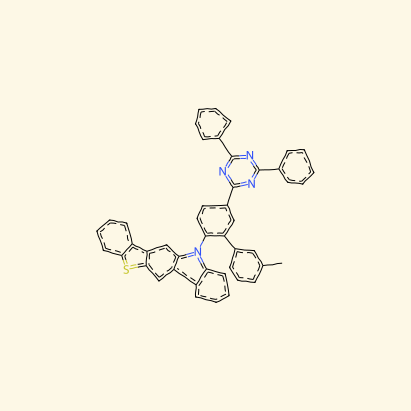 Cc1cccc(-c2cc(-c3nc(-c4ccccc4)nc(-c4ccccc4)n3)ccc2-n2c3ccccc3c3cc4sc5ccccc5c4cc32)c1